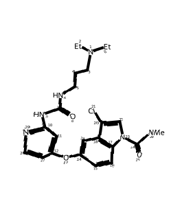 CCN(CC)CCCNC(=O)Nc1cc(Oc2ccc3c(c2)c(Cl)cn3C(=O)NC)ccn1